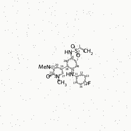 C=CS(=O)(=O)Nc1ccc(Nc2ccc(F)cc2)c(-c2cc(NC)c(=O)n(C)c2)c1